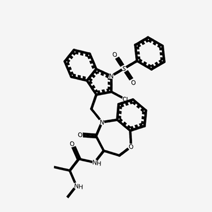 CNC(C)C(=O)NC1COc2ccccc2N(Cc2c(Cl)n(S(=O)(=O)c3ccccc3)c3ccccc23)C1=O